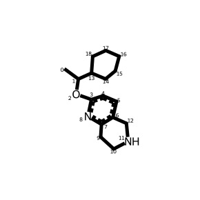 CC(Oc1ccc2c(n1)CCNC2)C1CCCCC1